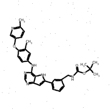 Cc1ccc(Oc2ccc(Nc3ncnc4cc(-c5cccc(CNC(=O)OC(C)(C)C)c5)[nH]c34)cc2C)cn1